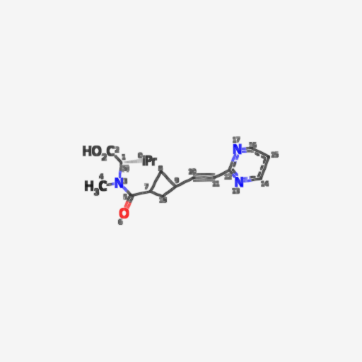 CC(C)[C@@H](C(=O)O)N(C)C(=O)C1CC(C#Cc2ncccn2)C1